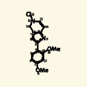 COc1ccc(-c2cn3c(n2)C=CN(Cl)C3)c(OC)c1